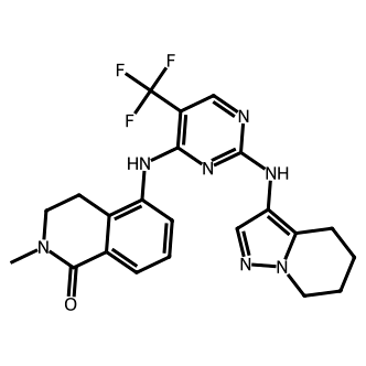 CN1CCc2c(Nc3nc(Nc4cnn5c4CCCC5)ncc3C(F)(F)F)cccc2C1=O